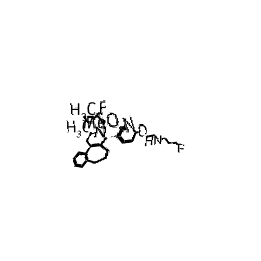 COc1nc(OCCNCCCF)ccc1[C@@H]1C2=C(C[C@@H](C)N1CC(C)(F)F)c1ccccc1CCC2